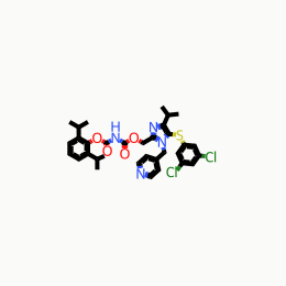 CC(C)c1cccc(C(C)C)c1OC(=O)NC(=O)OCc1nc(C(C)C)c(Sc2cc(Cl)cc(Cl)c2)n1Cc1ccncc1